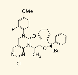 COc1ccc(N2Cc3cnc(Cl)nc3N(C(C)CO[Si](c3ccccc3)(c3ccccc3)C(C)(C)C)C2=O)c(F)c1